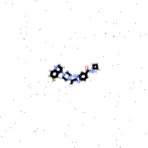 CC(c1nc2ccc(C(=O)NC3CCC3)cc2[nH]1)N1CCN(c2ccnc3ccc(F)cc23)CC1